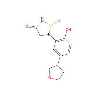 O=C1CN(c2cc(C3CCOC3)ccc2O)[S+]([O-])N1